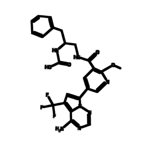 COc1ncc(-c2cc(C(F)(F)F)c3c(N)ncnn23)cc1C(=O)NCC(Cc1ccccc1)NC(=O)O